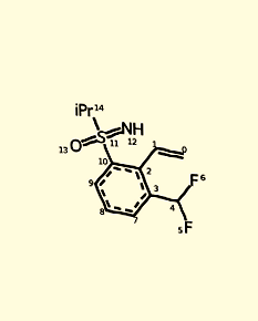 C=Cc1c(C(F)F)cccc1S(=N)(=O)C(C)C